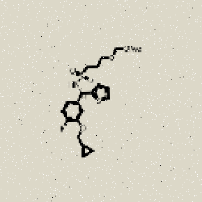 COCOCCCS(=O)(=O)N[C@@H](c1ccc(F)c(OCC2CC2)c1)c1cccs1